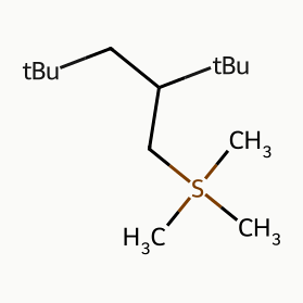 CC(C)(C)CC(CS(C)(C)C)C(C)(C)C